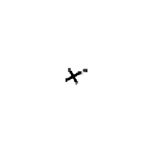 OC(F)(F)F.[KH]